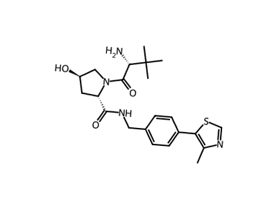 Cc1ncsc1-c1ccc(CNC(=O)[C@@H]2C[C@@H](O)CN2C(=O)[C@H](N)C(C)(C)C)cc1